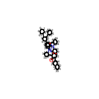 c1ccc(-c2ccc(-c3ccc(N(c4ccccc4-c4cccc5c4oc4cc6ccccc6cc45)c4ccccc4-n4c5ccccc5c5ccccc54)cc3)cc2-c2ccccc2)cc1